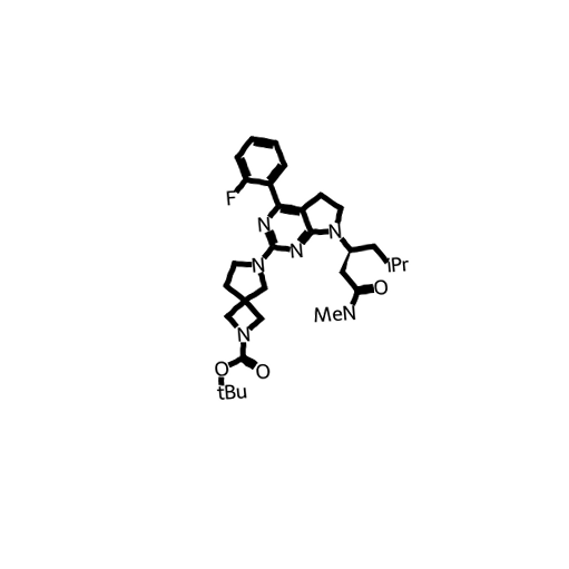 CNC(=O)C[C@H](CC(C)C)N1CCc2c(-c3ccccc3F)nc(N3CCC4(CN(C(=O)OC(C)(C)C)C4)C3)nc21